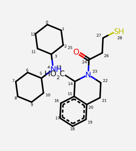 C1CCC(NC2CCCCC2)CC1.O=C(O)C1c2ccccc2CCN1C(=O)CCS